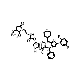 BSC1CC(=O)N(CCNC(=O)O[C@@H]2CNC[C@H]2CN(C(=O)[C@H](C)O)[C@@H](c2nc(-c3cc(F)ccc3F)cn2Cc2ccccc2)C2CCOCC2)C1=O